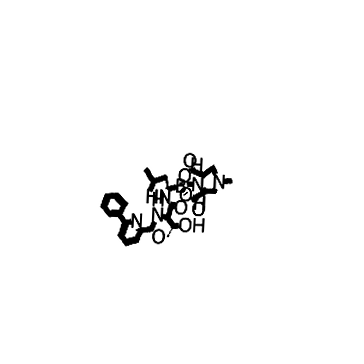 CC(C)C[C@H](NC(=O)C(NC(=O)c1cccc(-c2ccccc2)n1)[C@@H](C)O)B1OC(=O)[C@H]2CN(C)C[C@@H](C(=O)O1)N2C